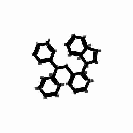 c1cncc(C(Cc2cccnc2-n2cnc3ccccc32)c2cnccn2)c1